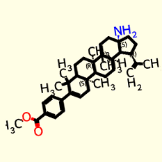 C=C(C)[C@@H]1CC[C@]2(N)CC[C@]3(C)[C@H](CCC4[C@@]5(C)CC=C(c6ccc(C(=O)OC)cc6)C(C)(C)C5CC[C@]43C)C12